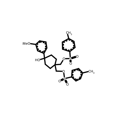 COc1cccc(C2(O)CCC(COS(=O)(=O)c3ccc(C)cc3)(COS(=O)(=O)c3ccc(C)cc3)CC2)c1